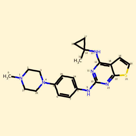 CN1CCN(c2ccc(Nc3nc(NC4(C)CC4)c4ccsc4n3)cc2)CC1